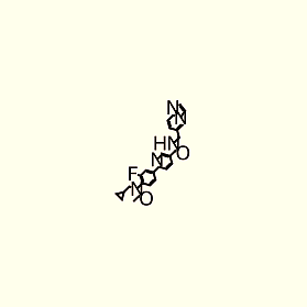 CC(=O)N(CC1CC1)c1ccc(-c2ccc(C(=O)NCc3ccc4nccn4c3)cn2)cc1F